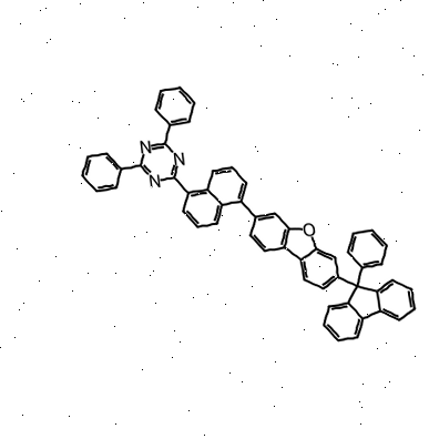 c1ccc(-c2nc(-c3ccccc3)nc(-c3cccc4c(-c5ccc6c(c5)oc5cc(C7(c8ccccc8)c8ccccc8-c8ccccc87)ccc56)cccc34)n2)cc1